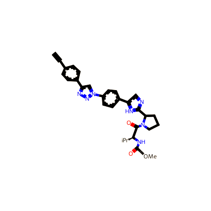 C#Cc1ccc(-c2cn(-c3ccc(-c4cnc(C5CCCN5C(=O)[C@@H](NC(=O)OC)C(C)C)[nH]4)cc3)nn2)cc1